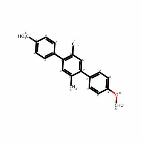 Cc1cc(-c2ccc(C(=O)O)cc2)c(C)cc1-c1ccc(OC=O)cc1